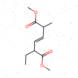 CCC(/C=C/C(C)C(=O)OC)C(=O)OC